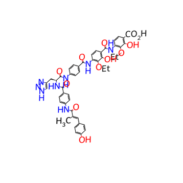 CCOc1c(NC(=O)c2ccc(NC(=O)c3ccc(NC(=O)[C@H](Cc4c[nH]nn4)NC(=O)c4ccc(NC(=O)/C(C)=C/c5ccc(O)cc5)cc4)cc3)c(OCC)c2O)ccc(C(=O)O)c1O